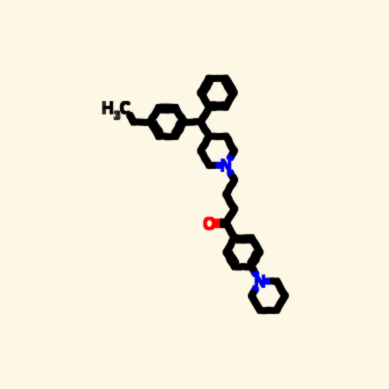 CCc1ccc(C(c2ccccc2)C2CCN(CCCC(=O)c3ccc(N4CCCCC4)cc3)CC2)cc1